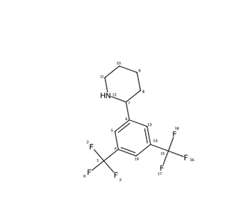 FC(F)(F)c1cc(C2CCCCN2)cc(C(F)(F)F)c1